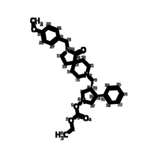 CCOC(=O)ON1C[C@H](CN2CCC3(CC2)CCN(Cc2ccc(OC)cc2)C3=O)[C@@H](c2ccccc2)C1